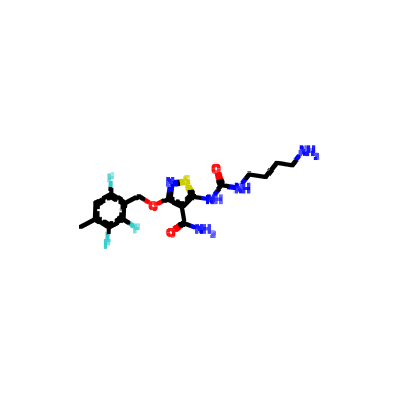 Cc1cc(F)c(COc2nsc(NC(=O)NCCCCN)c2C(N)=O)c(F)c1F